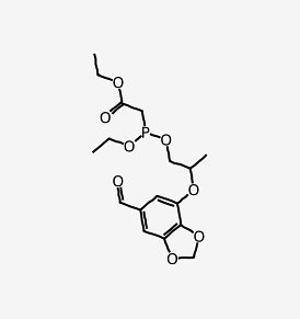 CCOC(=O)CP(OCC)OCC(C)Oc1cc(C=O)cc2c1OCO2